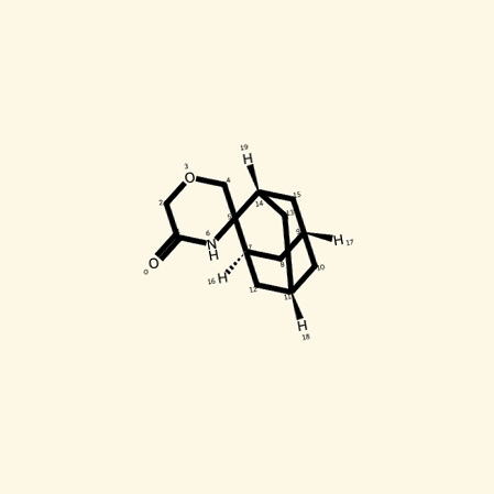 O=C1COCC2(N1)[C@H]1C[C@H]3C[C@H](C1)C[C@H]2C3